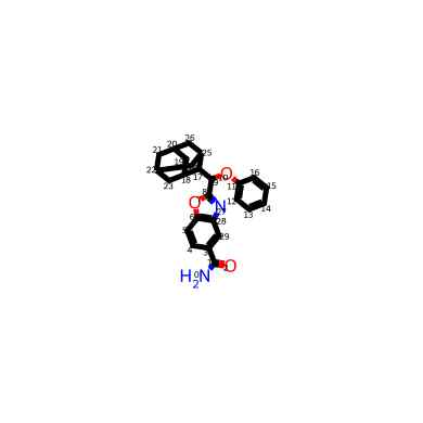 NC(=O)c1ccc2oc(C(Oc3ccccc3)C3C4CC5CC(C4)CC3C5)nc2c1